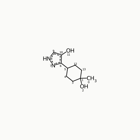 CC1(O)CCC(c2n[nH]cc2O)CC1